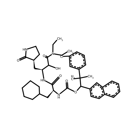 CCN(CC)C(=O)C(O)[C@H](C[C@@H]1CCNC1=O)NC(=O)[C@H](CC1CCCCC1)NC(=O)OC(c1ccc2ccccc2c1)C(C)(C)c1cccc(Cl)c1